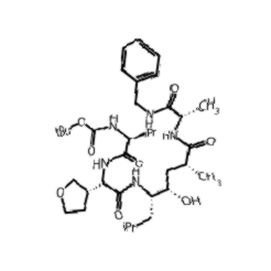 CC(C)C[C@H](NC(=O)C(NC(=O)[C@@H](NC(=O)OC(C)(C)C)C(C)C)[C@@H]1CCOC1)[C@@H](O)C[C@@H](C)C(=O)N[C@@H](C)C(=O)NCc1ccccc1